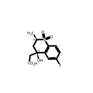 C[C@@H]1C[C@@](O)(CC(=O)O)c2cc(F)ccc2S1(=O)=O